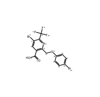 O=C(O)c1cc(Br)c(C(F)(F)F)nc1CSc1ccc(Br)cc1